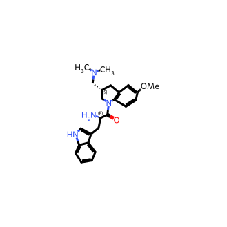 COc1ccc2c(c1)C[C@@H](CN(C)C)CN2C(=O)[C@H](N)Cc1c[nH]c2ccccc12